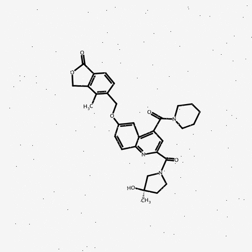 Cc1c(COc2ccc3nc(C(=O)N4CC[C@@](C)(O)C4)cc(C(=O)N4CCCCC4)c3c2)ccc2c1COC2=O